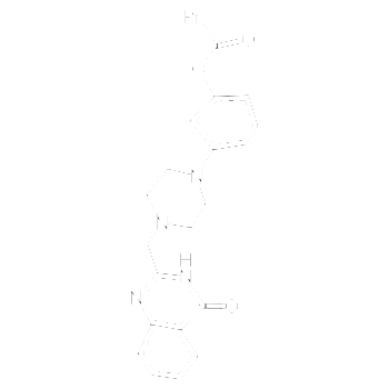 CC(C)C(=O)Oc1cccc(N2CCN(Cc3nc4ccccc4c(=O)[nH]3)CC2)c1